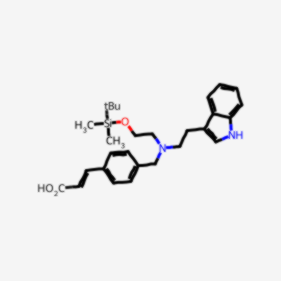 CC(C)(C)[Si](C)(C)OCCN(CCc1c[nH]c2ccccc12)Cc1ccc(/C=C/C(=O)O)cc1